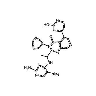 CC(Nc1nc(N)ncc1C#N)c1nc2cccc(-c3ccnc(O)c3)c2c(=O)n1-c1ccccc1